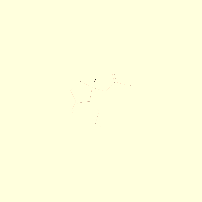 C[C@]1(CC(=O)O)CCC(=O)C1CC=O